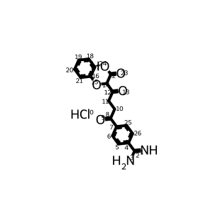 Cl.N=C(N)c1ccc(C(=O)CCC(=O)C(Oc2ccccc2)C(=O)O)cc1